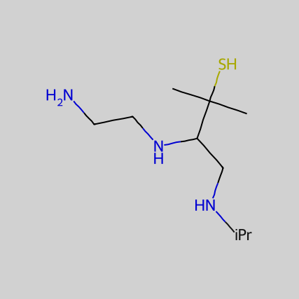 CC(C)NCC(NCCN)C(C)(C)S